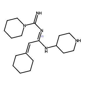 N=C(/N=C(\C=C1CCCCC1)NC1CCNCC1)N1CCCCC1